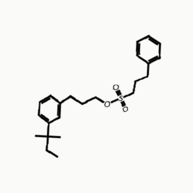 CCC(C)(C)c1cccc(CCCOS(=O)(=O)CCCc2ccccc2)c1